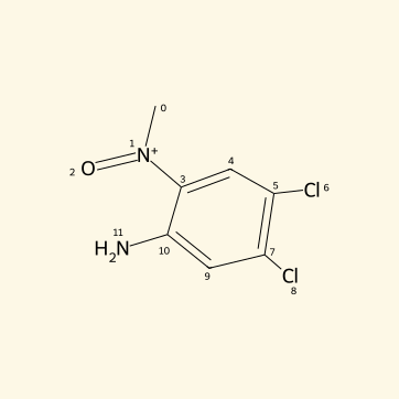 C[N+](=O)c1cc(Cl)c(Cl)cc1N